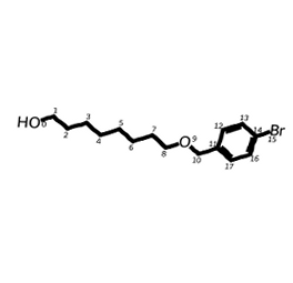 OCCCCCCCCOCc1ccc(Br)cc1